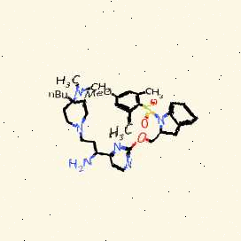 CCCCC1(N(C)C)CCN(CCC(N)c2ccnc(OC[C@@H]3Cc4ccccc4N3S(=O)(=O)c3c(C)cc(OC)cc3C)n2)CC1